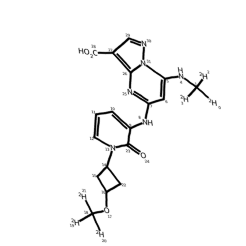 [2H]C([2H])([2H])Nc1cc(Nc2cccn(C3CC(OC([2H])([2H])[2H])C3)c2=O)nc2c(C(=O)O)cnn12